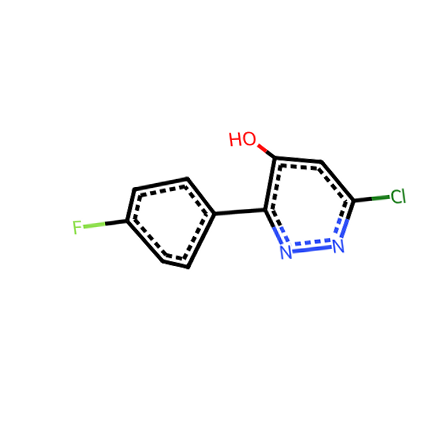 Oc1cc(Cl)nnc1-c1ccc(F)cc1